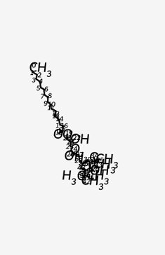 CCCCCCCCCCCCCCCCCC(=O)OCC(O)COC(=O)CCc1cc(C(C)(C)C)c(O)c(C(C)(C)C)c1